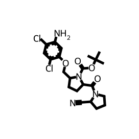 CC(C)(C)OC(=O)N1C(COc2cc(N)c(Cl)cc2Cl)CCC1C(=O)N1CCCC1C#N